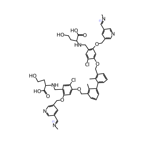 C/N=C/c1cncc(COc2cc(OCc3cccc(-c4cccc(COc5cc(OCc6cncc(/C=N/C)c6)c(CNC(CCO)C(=O)O)cc5Cl)c4C)c3C)c(Cl)cc2CNC(CCO)C(=O)O)c1